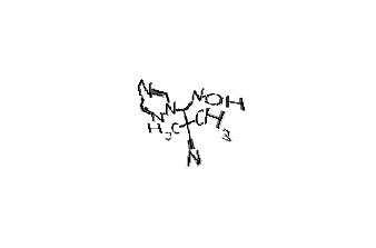 CC(C)(C#N)C(=NO)n1cncn1